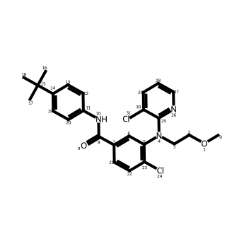 COCCN(c1cc(C(=O)Nc2ccc(C(C)(C)C)cc2)ccc1Cl)c1ncccc1Cl